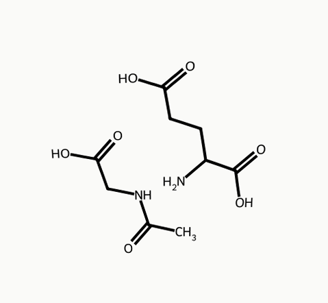 CC(=O)NCC(=O)O.NC(CCC(=O)O)C(=O)O